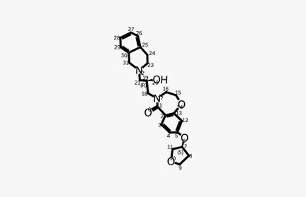 O=C1c2ccc(O[C@H]3CCOC3)cc2OCCN1C[C@H](O)CN1CCc2ccccc2C1